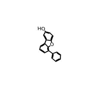 Oc1ccc2oc3c(-c4ccccc4)cccc3c2c1